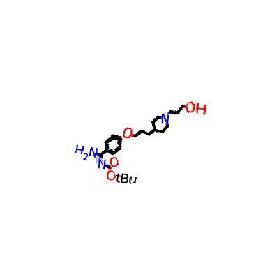 CC(C)(C)OC(=O)/N=C(/N)c1ccc(OCCCC2CCN(CCCO)CC2)cc1